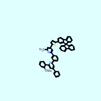 COc1ccccc1-c1cc(-c2ccccc2)cc(-c2cccc(-c3cc(-c4ccc(-c5ccc6c(c5)C5(c7ccccc7-c7ccccc75)c5ccccc5-6)s4)cc(C)n3)c2)n1